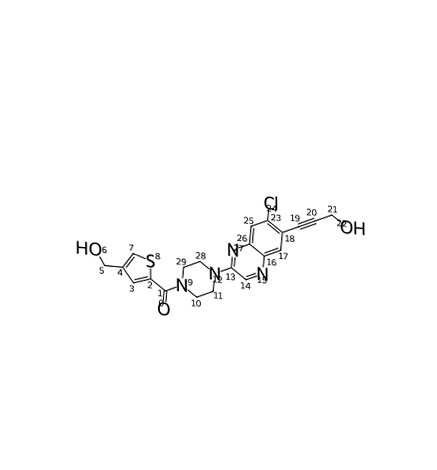 O=C(c1cc(CO)cs1)N1CCN(c2cnc3cc(C#CCO)c(Cl)cc3n2)CC1